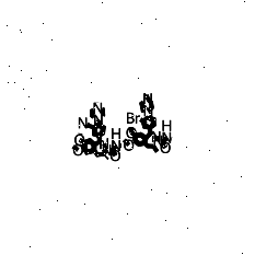 CNC(=O)N1N=C(c2ccc(N3CCN(C)CC3)c(Br)c2)c2cc(OC)c(OC)cc2CC1C.CNC(=O)N1N=C(c2ccc(N3CCN(C)CC3)c(C#N)c2)c2cc(OC)c(OC)cc2C[C@@H]1C